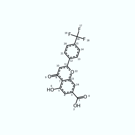 O=C(O)c1cc(O)c2c(=O)cc(-c3ccc(C(F)(F)F)cc3)oc2c1